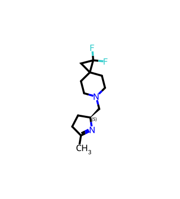 CC1=N[C@H](CN2CCC3(CC2)CC3(F)F)CC1